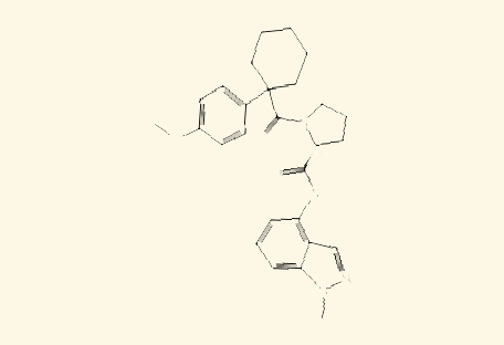 COc1ccc(C2(C(=O)N3CCC[C@H]3C(=O)Nc3cccc4c3cnn4C)CCCCC2)cc1